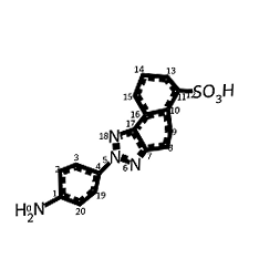 Nc1ccc(-n2nc3ccc4c(S(=O)(=O)O)cccc4c3n2)cc1